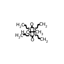 C=CCN1C(=O)N(CC=C)C2(C)N(CC=C)C(=O)N(CC=C)C12C